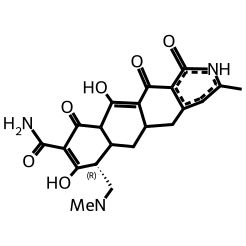 CNC[C@@H]1C(O)=C(C(N)=O)C(=O)C2C(O)=C3C(=O)c4c(cc(C)[nH]c4=O)CC3CC21